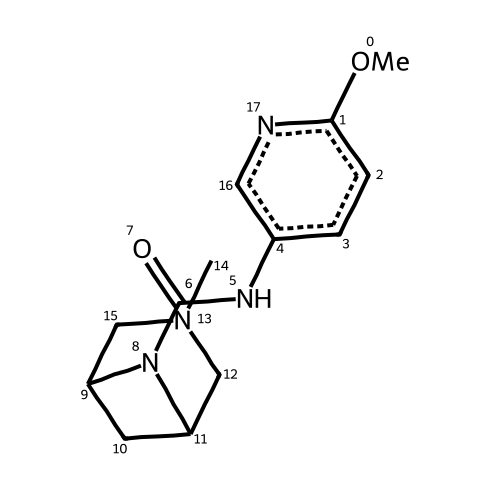 COc1ccc(NC(=O)N2C3CC2CN(C)C3)cn1